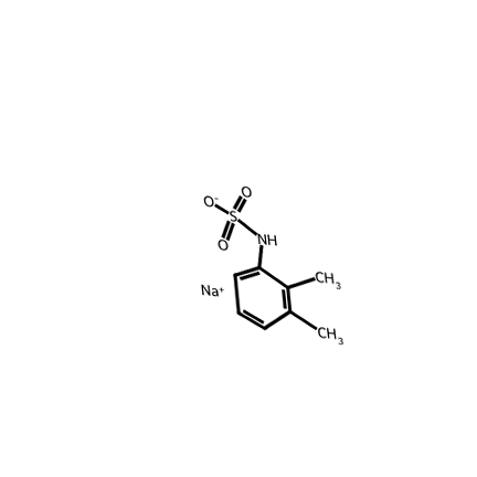 Cc1cccc(NS(=O)(=O)[O-])c1C.[Na+]